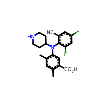 Cc1cc(C)c(N(c2c(F)cc(F)cc2C#N)C2CCNCC2)cc1C(=O)O